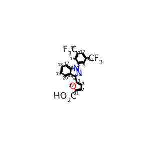 O=C(O)c1ccc(-c2nn(-c3cc(C(F)(F)F)cc(C(F)(F)F)c3)c3ccccc23)o1